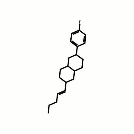 CCC/C=C/C1CCC2CC(c3ccc(F)cc3)CCC2C1